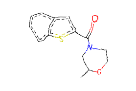 CC1CN(C(=O)c2cc3ccccc3s2)CCO1